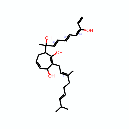 C=C\C(O)=C/C=C/C=C/C(C)(O)C1CC=CC(O)C(C/C=C(\C)CCC=CC(C)C)=C1O